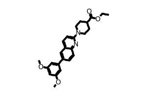 CCOC(=O)C1CCN(c2ccc3cc(-c4cc(OC)cc(OC)c4)ccc3n2)CC1